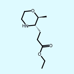 CCOC(=O)CC[C@@H]1NCCO[C@H]1C